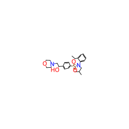 CCc1ccccc1N(CC(C)C)S(=O)(=O)c1ccc(C(O)CN2CCOCC2)cc1